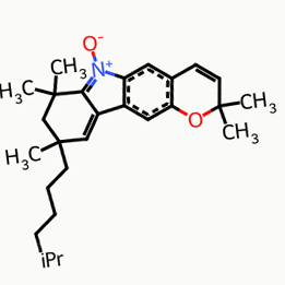 CC(C)CCCCC1(C)C=C2C(=[N+]([O-])c3cc4c(cc32)OC(C)(C)C=C4)C(C)(C)C1